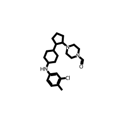 Cc1ccc(NC2CCC(C3CCCC3N3CCN(C=O)CC3)CC2)cc1Cl